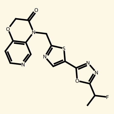 CC(F)c1nnc(-c2cnc(CN3C(=O)COc4ccncc43)s2)o1